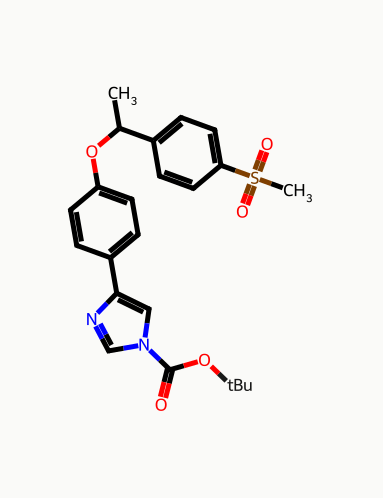 CC(Oc1ccc(-c2cn(C(=O)OC(C)(C)C)cn2)cc1)c1ccc(S(C)(=O)=O)cc1